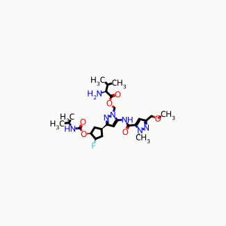 COCc1cc(C(=O)Nc2cc([C@H]3C[C@@H](F)[C@@H](OC(=O)NC(C)C)C3)nn2COC(=O)[C@@H](N)C(C)C)n(C)n1